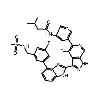 CC(C)CC(=O)Nc1cncc(-c2ncc3[nH]nc(-c4nc5c(-c6cc(F)cc(CNS(C)(=O)=O)c6)cccc5[nH]4)c3c2F)c1